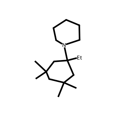 CCC1(N2CCCCC2)CC(C)(C)CC(C)(C)C1